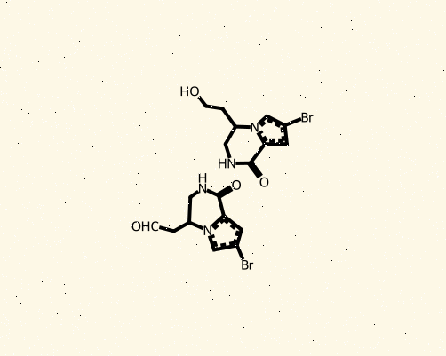 O=C1NCC(CCO)n2cc(Br)cc21.O=CCC1CNC(=O)c2cc(Br)cn21